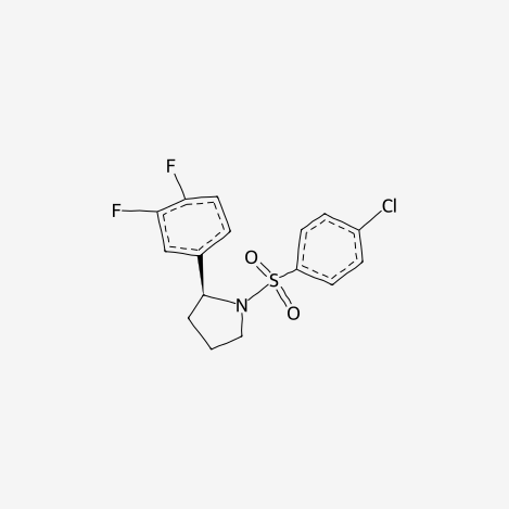 O=S(=O)(c1ccc(Cl)cc1)N1CCC[C@H]1c1ccc(F)c(F)c1